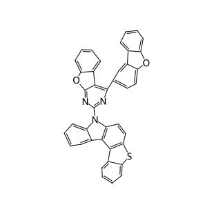 c1ccc2c(c1)oc1ccc(-c3nc(-n4c5ccccc5c5c6c(ccc54)sc4ccccc46)nc4oc5ccccc5c34)cc12